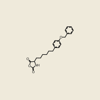 O=C1NC(CCCCCCc2ccc(OCc3ccccc3)cc2)C(=O)O1